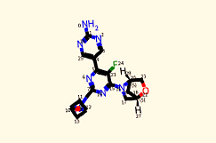 Nc1ncc(-c2nc(N3CC4CC3C4)nc(N3C[C@@H]4C[C@H]3CO4)c2F)cn1